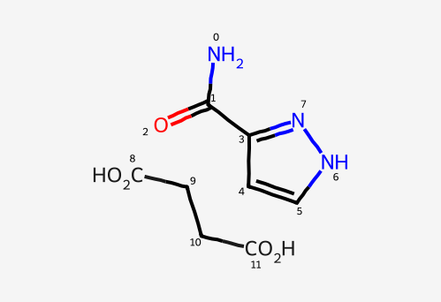 NC(=O)c1cc[nH]n1.O=C(O)CCC(=O)O